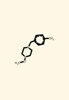 CON1CCN(Cc2ccc(C)cc2)CC1